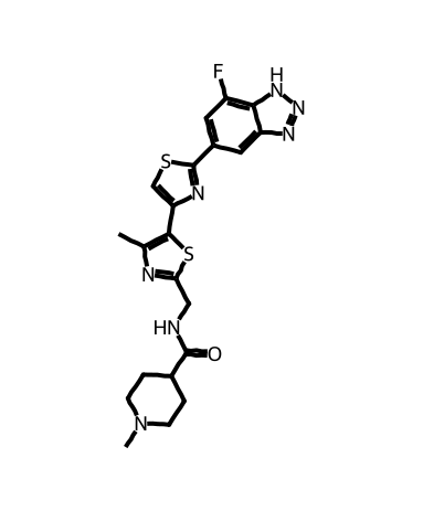 Cc1nc(CNC(=O)C2CCN(C)CC2)sc1-c1csc(-c2cc(F)c3[nH]nnc3c2)n1